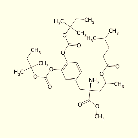 CCC(C)(C)OC(=O)Oc1ccc(C[C@](N)(CC(C)OC(=O)CCC(C)C)C(=O)OC)cc1OC(=O)OC(C)(C)CC